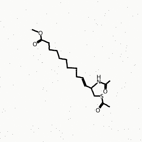 COC(=O)CCCCCCCCC=CC(CSC(C)=O)NC(C)=O